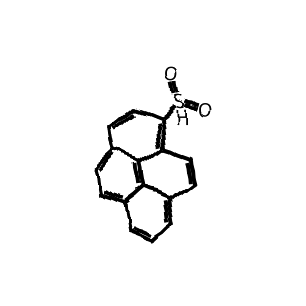 O=[SH](=O)c1ccc2ccc3cccc4ccc1c2c34